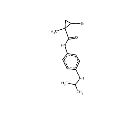 CC(C)Nc1ccc(NC(=O)C2(C)CC2Br)cc1